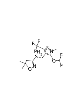 Cn1nc(C(F)(F)P)c(CSC2=NOC(C)(C)C2)c1OC(F)F